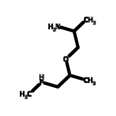 CPCC(C)OCC(C)N